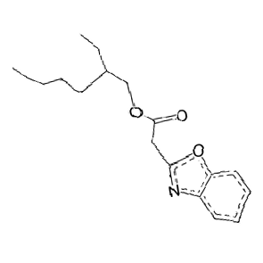 CCCCC(CC)COC(=O)Cc1nc2ccccc2o1